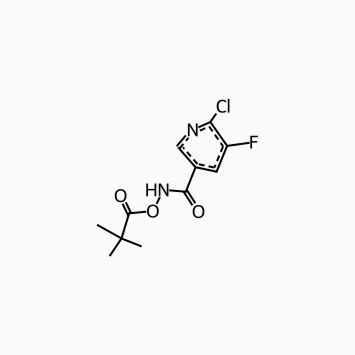 CC(C)(C)C(=O)ONC(=O)c1cnc(Cl)c(F)c1